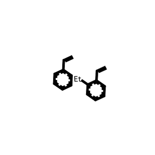 C=Cc1ccccc1.C=Cc1ccccc1CC